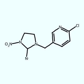 [N]C1N(Cc2ccc(Cl)nc2)CCN1[N+](=O)[O-]